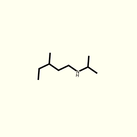 CCC(C)CCNC(C)C